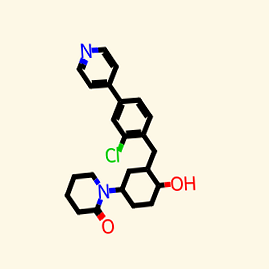 O=C1CCCCN1C1CCC(O)C(Cc2ccc(-c3ccncc3)cc2Cl)C1